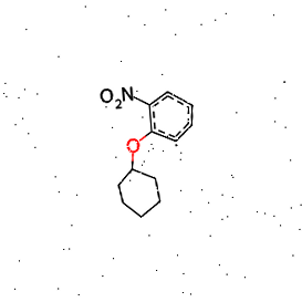 O=[N+]([O-])c1ccc[c]c1OC1CCCCC1